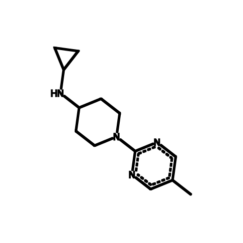 Cc1cnc(N2CCC(NC3CC3)CC2)nc1